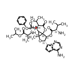 CC(C)OC(=O)[C@H](C)N[P@@](=O)(Oc1ccccc1)OC1[C@@]2(C)O[C@@H](c3ccc4c(N)ncnn34)[C@H](OC(=O)[C@@H](N)C(C)C)[C@@]12OC(=O)[C@@H](N)C(C)C